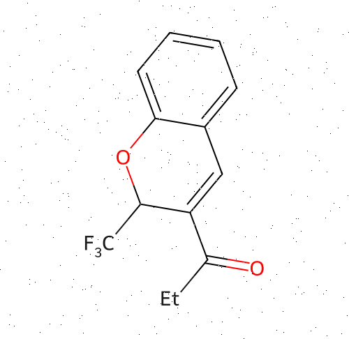 CCC(=O)C1=Cc2ccccc2OC1C(F)(F)F